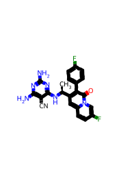 C[C@H](Nc1nc(N)nc(N)c1C#N)c1cc2ccc(F)cn2c(=O)c1-c1ccc(F)cc1